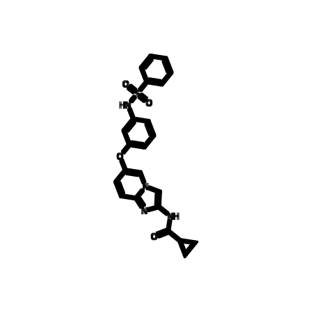 O=C(Nc1cn2cc(Oc3cccc(NS(=O)(=O)c4ccccc4)c3)ccc2n1)C1CC1